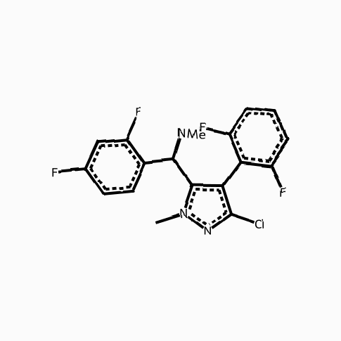 CNC(c1ccc(F)cc1F)c1c(-c2c(F)cccc2F)c(Cl)nn1C